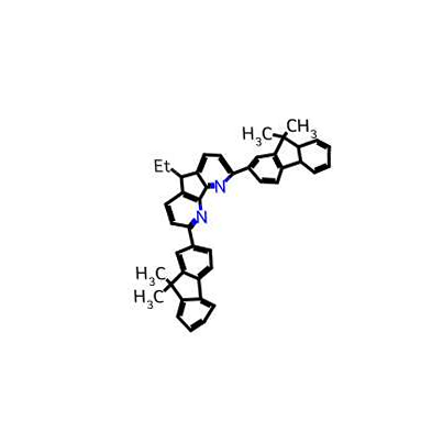 CCC1c2ccc(-c3ccc4c(c3)C(C)(C)c3ccccc3-4)nc2-c2nc(-c3ccc4c(c3)C(C)(C)C3C=CC=CC43)ccc21